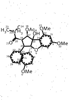 COc1ccc([C@@]23Oc4cc(OC)cc(OC)c4C2(O)[C@H](OC(C)=O)[C@H](C(=O)N(C)C)C3c2ccccc2)cc1